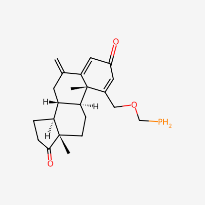 C=C1C[C@@H]2[C@H](CC[C@]3(C)C(=O)CC[C@@H]23)[C@@]2(C)C(COCP)=CC(=O)C=C12